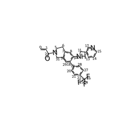 C=CC(=O)N1CCc2cc(NCc3cccnc3)c(-c3ccc(C(F)(F)F)cc3)cc2C1